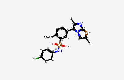 COc1ccc(-c2c(C)nc3sc(C)cn23)cc1S(=O)(=O)NC1=CC=C(F)CC1